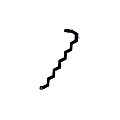 CCCCCCCC/C=C\CCCCCCCCCCCl